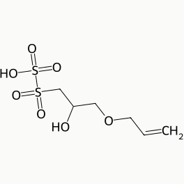 C=CCOCC(O)CS(=O)(=O)S(=O)(=O)O